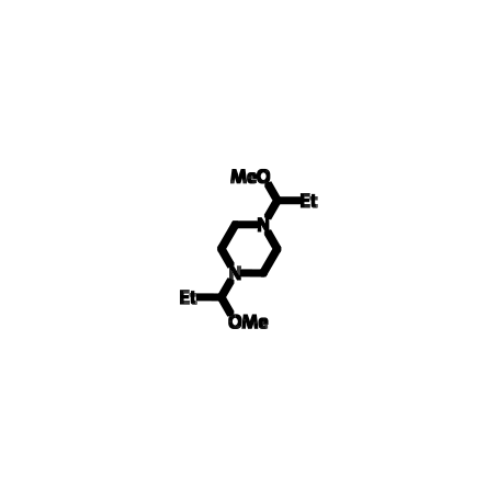 CCC(OC)N1CCN(C(CC)OC)CC1